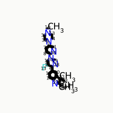 CCN1CCN(c2ccc(N3C=C(F)C(c4ccc5c(c4)C(C)(CC)C(C)=N5)=NC3)nc2)CC1